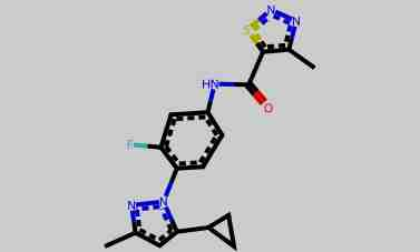 Cc1cc(C2CC2)n(-c2ccc(NC(=O)c3snnc3C)cc2F)n1